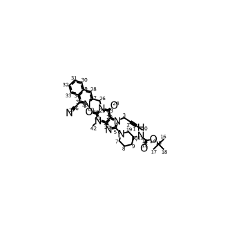 CC#CCn1c(N2CCC[C@@H](NC(=O)OC(C)(C)C)C2)nc2c1c(=O)n(Cc1cc3ccccc3c(C#N)n1)c(=O)n2C